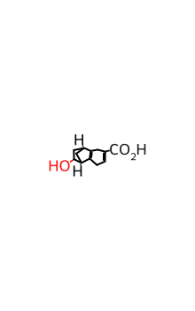 O=C(O)C1=CCC2=C(C1)[C@@H]1C[C@H](O)[C@H]2C1